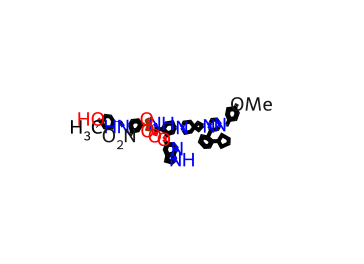 COc1ccc(CN2CCN(C3CC4(CCN(c5ccc(C(=O)NS(=O)(=O)c6ccc(NC[C@H]7CC[C@](C)(O)CC7)c([N+](=O)[O-])c6)c(Oc6cnc7[nH]ccc7c6)c5)CC4)C3)C(c3ccccc3C3CCCC3)C2)cc1